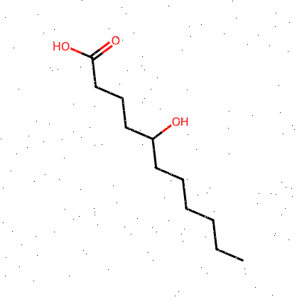 CCCCCCC(O)CCCC(=O)O